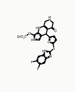 CCOC(=O)Oc1[nH]cc2c1NC1=C(C(=O)CNC1)C2c1ccc(Sc2nc3cc(F)c(F)cc3[nH]2)o1